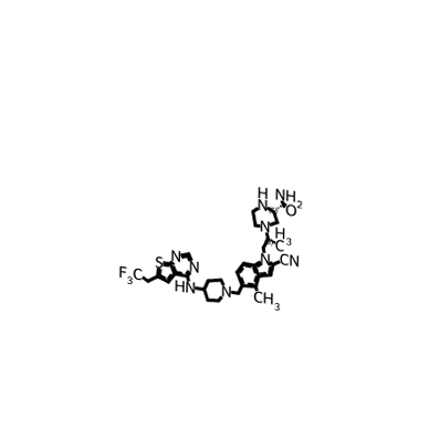 Cc1c(CN2CCC(Nc3ncnc4sc(CC(F)(F)F)cc34)CC2)ccc2c1cc(C#N)n2C[C@H](C)N1CCN[C@H](C(N)=O)C1